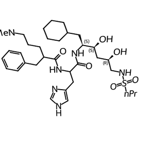 CCCS(=O)(=O)NC[C@H](O)C[C@H](O)[C@H](CC1CCCCC1)NC(=O)C(Cc1c[nH]cn1)NC(=O)C(CCCNC)Cc1ccccc1